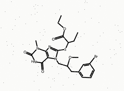 CCOC(=O)C(CC)Sc1nc2c(c(=O)[nH]c(=O)n2C)n1CC(Cc1cccc(Br)c1)OC